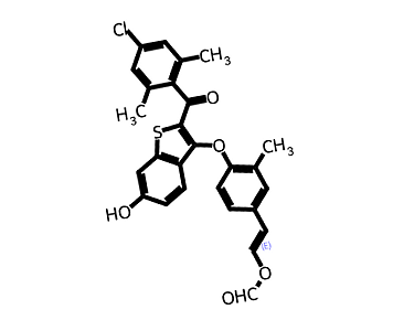 Cc1cc(/C=C/OC=O)ccc1Oc1c(C(=O)c2c(C)cc(Cl)cc2C)sc2cc(O)ccc12